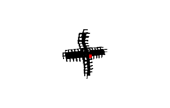 FC(F)(F)C(F)(F)C(F)(F)C(F)(F)C(F)(F)C(F)(F)[B-](C(F)(F)C(F)(F)C(F)(F)C(F)(F)C(F)(F)C(F)(F)F)(C(F)(F)C(F)(F)C(F)(F)C(F)(F)C(F)(F)C(F)(F)F)C(F)(F)C(F)(F)C(F)(F)C(F)(F)C(F)(F)C(F)(F)F